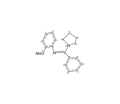 COc1ccccc1N=C(c1ccccc1)N1CCCC1